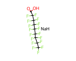 O=C(O)C(F)(F)C(F)(F)C(F)(F)C(F)(F)C(F)(F)C(F)(F)C(F)(F)C(F)(F)F.[NaH]